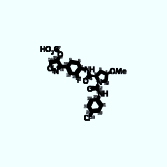 CO[C@@H]1C[C@H](C(=O)Nc2ccc(-c3nocc3OC(=O)O)cc2F)N(C(=O)Nc2ccc(Cl)cc2)C1